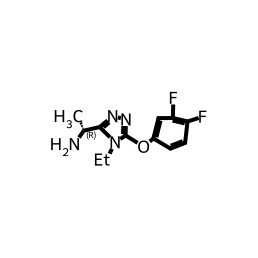 CCn1c(Oc2ccc(F)c(F)c2)nnc1[C@@H](C)N